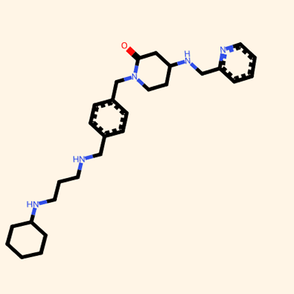 O=C1CC(NCc2ccccn2)CCN1Cc1ccc(CNCCCNC2CCCCC2)cc1